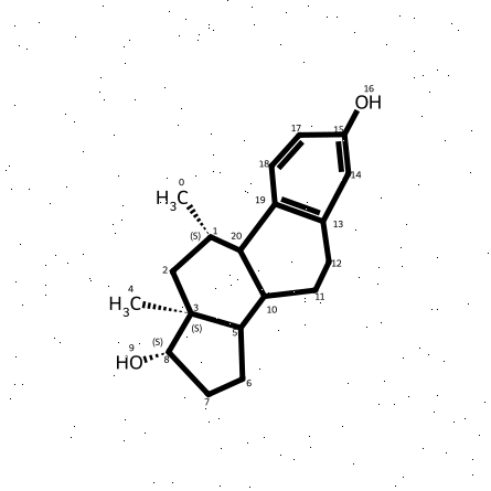 C[C@H]1C[C@@]2(C)C(CC[C@@H]2O)C2CCc3cc(O)ccc3C21